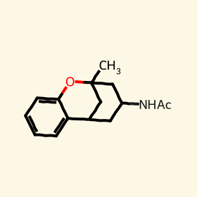 CC(=O)NC1CC2CC(C)(C1)Oc1ccccc12